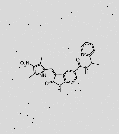 Cc1[nH]c(C=C2C(=O)Nc3ccc(C(=O)NC(C)c4ccccn4)cc32)c(C)c1[N+](=O)[O-]